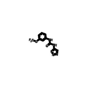 O=C(Nc1cccc(OC(F)(F)F)c1)Nc1cnns1